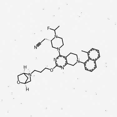 Cc1cccc2cccc(N3CCc4c(nc(OCCCN5C[C@@H]6C[C@H]5CO6)nc4N4CCN(C(C)F)[C@@H](CC#N)C4)C3)c12